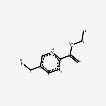 C=C(OCC)c1ncc(CF)cn1